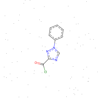 O=C(Cl)c1ncn(-c2ccccc2)n1